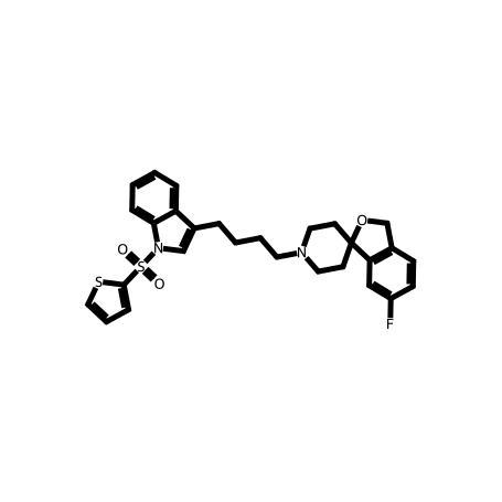 O=S(=O)(c1cccs1)n1cc(CCCCN2CCC3(CC2)OCc2ccc(F)cc23)c2ccccc21